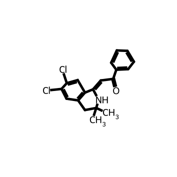 CC1(C)Cc2cc(Cl)c(Cl)cc2/C(=C/C(=O)c2ccccc2)N1